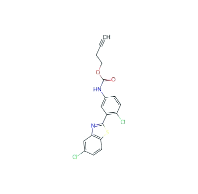 C#CCCOC(=O)Nc1ccc(Cl)c(-c2nc3cc(Cl)ccc3s2)c1